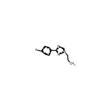 CCCn1cnc(-c2ccc(F)cc2)n1